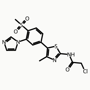 Cc1nc(NC(=O)CCl)sc1-c1ccc(S(C)(=O)=O)c(-n2ccnc2)c1